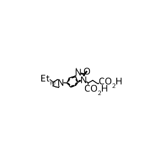 CC[C@@H]1CCN(c2ccc3c(c2)n(C)c(=O)n3C(CCC(=O)O)C(=O)O)C1